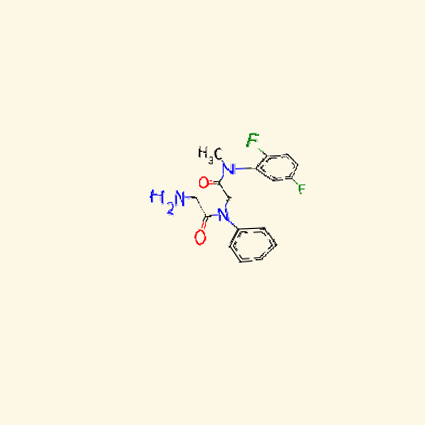 CN(C(=O)CN(C(=O)CN)c1ccccc1)c1cc(F)ccc1F